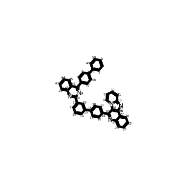 c1ccc(-c2ccc(-c3nc(-c4cccc(-c5ccc(-c6nc7ccccc7c7nc8ccccn8c67)cc5)c4)nc4ccccc34)cc2)cc1